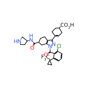 O=C(O)C1CC=C(c2nn(C(=O)c3c(Cl)cccc3C3(C(F)(F)F)CC3)c3c2CCC(C(=O)NC2CCNC2)C3)CC1